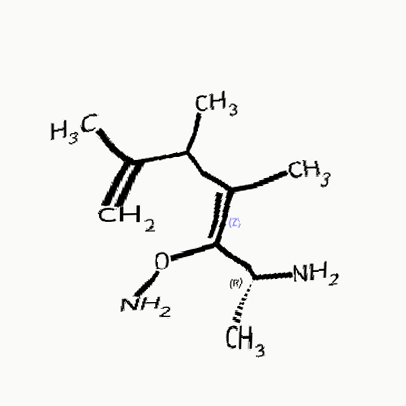 C=C(C)C(C)/C(C)=C(\ON)[C@@H](C)N